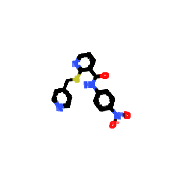 O=C(Nc1ccc([N+](=O)[O-])cc1)c1cccnc1SCc1ccncc1